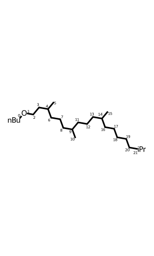 CCCCOCCC(C)CCCC(C)CCCC(C)CCCCCC(C)C